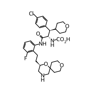 O=C(O)N[C@H](C(=O)Nc1cccc(F)c1CC[C@@H]1CNCC2(CCOCC2)O1)[C@@H](c1ccc(Cl)cc1)C1CCOCC1